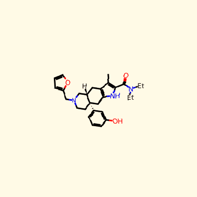 CCN(CC)C(=O)c1[nH]c2c(c1C)C[C@H]1CN(Cc3ccco3)CC[C@]1(c1cccc(O)c1)C2